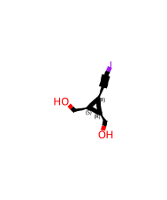 OC[C@@H]1[C@H](C#CI)[C@@H]1CO